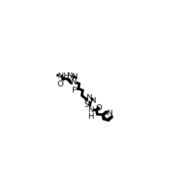 CNC(=O)c1cn(CC(F)CCc2nnc(NC(=O)Cc3cccnc3)s2)nn1